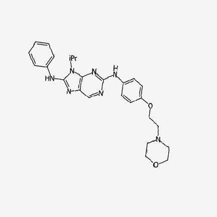 CC(C)n1c(Nc2ccccc2)nc2cnc(Nc3ccc(OCCN4CCOCC4)cc3)nc21